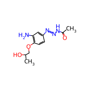 CC(=O)NN=Nc1ccc(OCC(C)O)c(N)c1